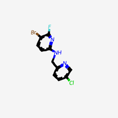 Fc1nc(NCc2ccc(Cl)cn2)ccc1Br